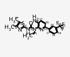 C=CN(C(=O)Nc1nc(C)c(C)s1)c1nc(-c2cccc(C(F)(F)F)c2)ccc1N